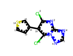 Clc1nc2ncnn2c(Cl)c1-c1ccsc1